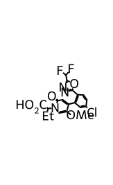 CCC(C(=O)O)n1cc(OC)c(-c2cc(Cl)ccc2-c2nnc(C(F)F)o2)cc1=O